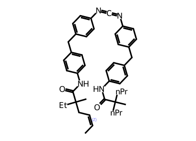 C/C=C\CC(C)(CC)C(=O)Nc1ccc(Cc2ccc(N=C=Nc3ccc(Cc4ccc(NC(=O)C(C)(CCC)CCC)cc4)cc3)cc2)cc1